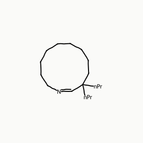 CCCC1(CCC)C=NCCCCCCCCC1